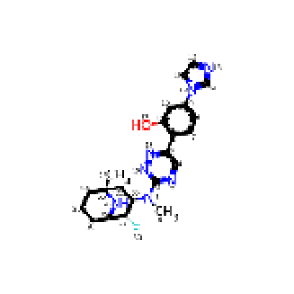 CN(c1ncc(-c2ccc(-n3ccnc3)cc2O)nn1)[C@@H]1C[C@@]2(C)CCCC(N2)[C@H]1F